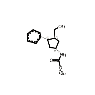 CC(C)(C)OC(=O)N[C@H]1C[C@H](CO)[C@@H](c2ccccc2)C1